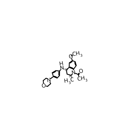 COc1ccc2c(c1)[C@@H](Nc1ccc(N3CCOCC3)cc1)C[C@@H](C)N2C(C)=O